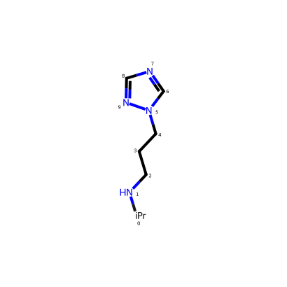 CC(C)NCCCn1cncn1